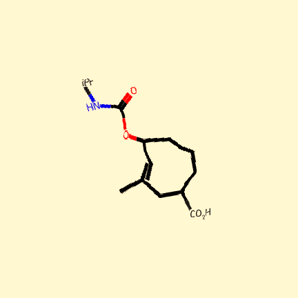 C/C1=C\C(OC(=O)NC(C)C)CCCC(C(=O)O)C1